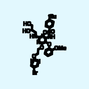 COc1ccccc1Oc1c(NS(=O)(=O)c2ccc(C(C)(C)C)cc2)nc(NCC(O)CO)nc1OCCOc1ncc(Br)cn1